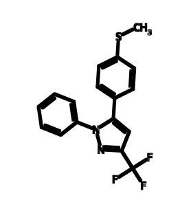 CSc1ccc(-c2cc(C(F)(F)F)nn2-c2ccccc2)cc1